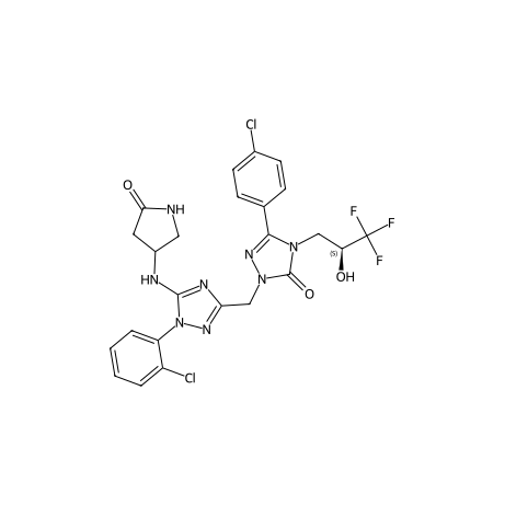 O=C1CC(Nc2nc(Cn3nc(-c4ccc(Cl)cc4)n(C[C@H](O)C(F)(F)F)c3=O)nn2-c2ccccc2Cl)CN1